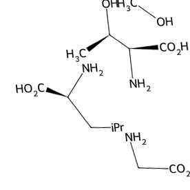 CC(C)C[C@H](N)C(=O)O.CO.C[C@@H](O)[C@H](N)C(=O)O.NCC(=O)O